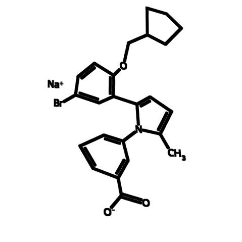 Cc1ccc(-c2cc(Br)ccc2OCC2CCCC2)n1-c1cccc(C(=O)[O-])c1.[Na+]